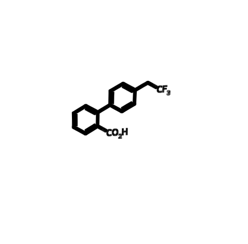 O=C(O)c1ccccc1-c1ccc(CC(F)(F)F)cc1